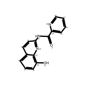 O=C(Nc1ccc2cccc(O)c2n1)c1ccccn1